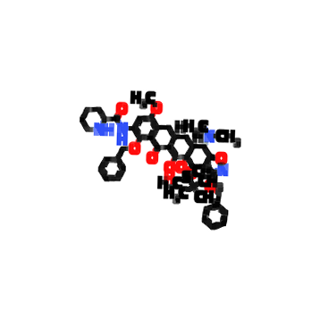 COc1cc(NC(=O)C2CCCCN2)c(OCc2ccccc2)c2c1C[C@H]1C[C@H]3[C@H](N(C)C)c4onc(OCc5ccccc5)c4C(=O)C3(O[Si](C)(C)C(C)(C)C)C(O)=C1C2=O